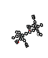 c1ccc(-c2ccc(N3B4c5c(cc(-c6ccc(-c7ccc(-c8ccc(N9B%10c%11c(cc(-c%12ccccc%12)cc%11-n%11c%12ccc(C%13%14CC%15CC%16CC(C%13)C%16%15C%14)cc%12c%12cc(C%13%14CC%15CC%16C[C@@H](C%13)C%16%15C%14)cc%10c%12%11)-c%10cc%11c(cc%109)oc9ccccc9%11)cc8)cc7)cc6)cc5-n5c6ccc(C78CC9CC%10CC(C7)C%109C8)cc6c6cc(C78CC9CC%10CC(C7)C%109C8)cc4c65)-c4ccc5ccccc5c43)cc2)cc1